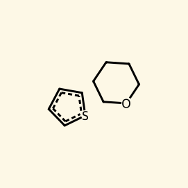 C1CCOCC1.c1ccsc1